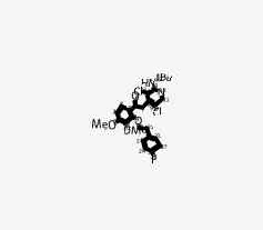 COc1ccc(C(=O)Cc2c(Cl)cnc(NC(C)(C)C)c2Cl)c(OCCc2ccc(F)cc2)c1OC